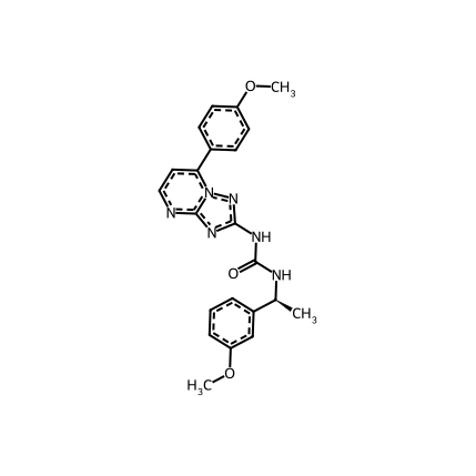 COc1ccc(-c2ccnc3nc(NC(=O)N[C@@H](C)c4cccc(OC)c4)nn23)cc1